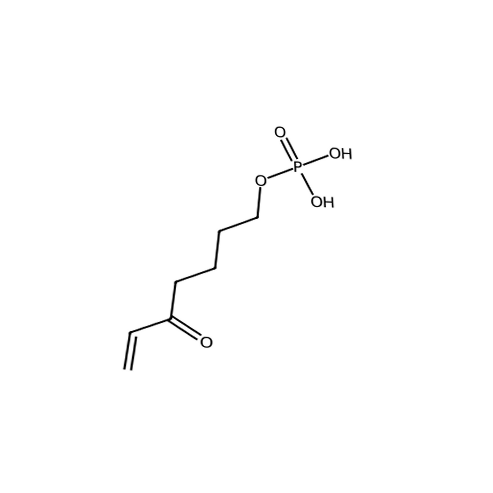 C=CC(=O)CCCCOP(=O)(O)O